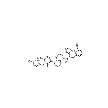 N#Cc1cccc(CC(NC2CCOc3c(C(=O)N[C@@H](Cc4ccc(Cl)cc4)C(N)=O)cccc32)c2cnc[nH]2)c1